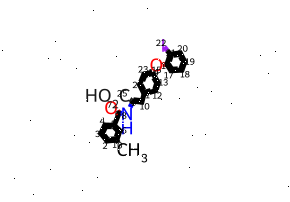 Cc1cccc(C(=O)N/C(=C/c2ccc(Oc3ccccc3I)cc2)C(=O)O)c1